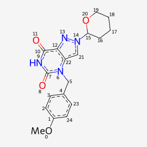 COc1ccc(Cn2c(=O)[nH]c(=O)c3nn(C4CCCCO4)cc32)cc1